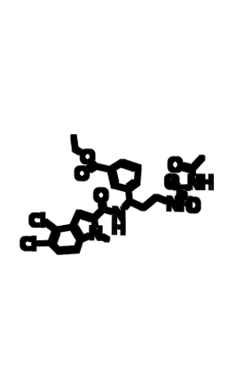 CCOC(=O)c1cccc(C(CCNS(=O)(=O)NC(C)=O)NC(=O)c2cc3c(Cl)c(Cl)ccc3n2C)c1